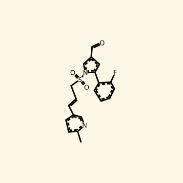 Cc1ccc(C=CCS(=O)(=O)n2cc(C=O)cc2-c2ccccc2F)cn1